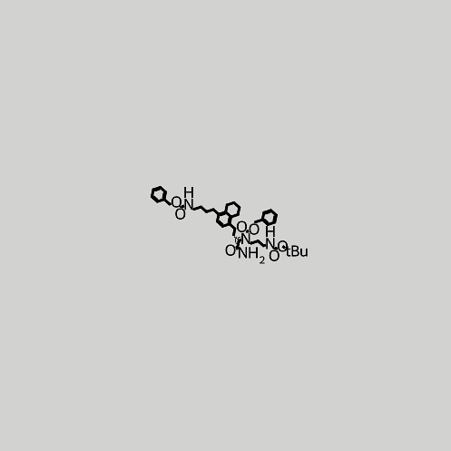 CC(C)(C)OC(=O)NCCCN(C(=O)OCc1ccccc1)[C@@H](CCc1ccc(CCCCNC(=O)OCc2ccccc2)c2c1CCCC2)C(N)=O